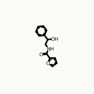 O=C(NCC(O)c1ccccc1)c1cc[c]o1